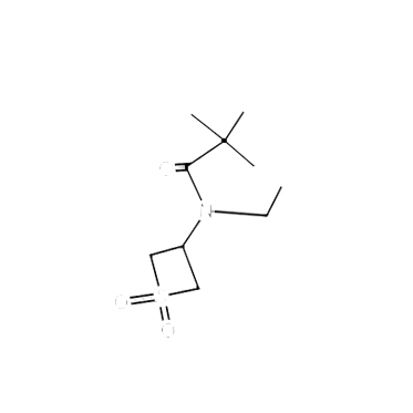 CCN(C(=O)C(C)(C)C)C1CS(=O)(=O)C1